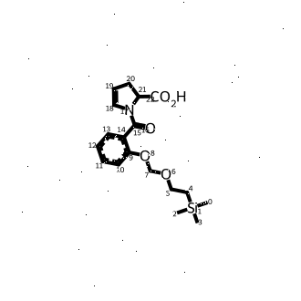 C[Si](C)(C)CCOCOc1ccccc1C(=O)N1C=CCC1C(=O)O